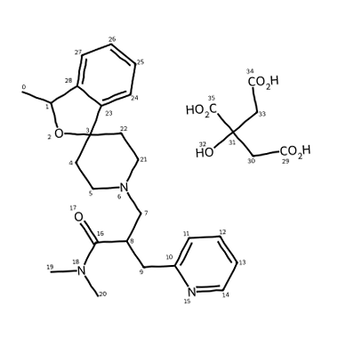 CC1OC2(CCN(CC(Cc3ccccn3)C(=O)N(C)C)CC2)c2ccccc21.O=C(O)CC(O)(CC(=O)O)C(=O)O